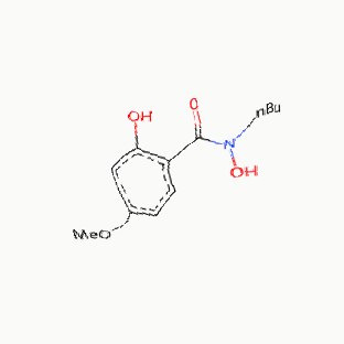 CCCCN(O)C(=O)c1ccc(OC)cc1O